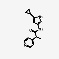 CC(C(=O)Nc1cc(C2CC2)[nH]n1)c1ccncc1